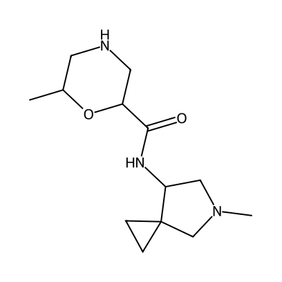 CC1CNCC(C(=O)NC2CN(C)CC23CC3)O1